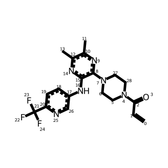 C=CC(=O)N1CCN(c2nc(C)c(C)nc2Nc2ccc(C(F)(F)F)nc2)CC1